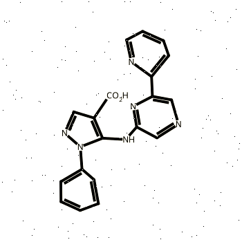 O=C(O)c1cnn(-c2ccccc2)c1Nc1cncc(-c2ccccn2)n1